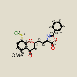 COc1ccc(SCl)c2c1C(=O)CC(CC=C1N=C(c3ccccc3)OC1=O)O2